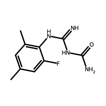 Cc1cc(C)c(NC(=N)NC(N)=O)c(F)c1